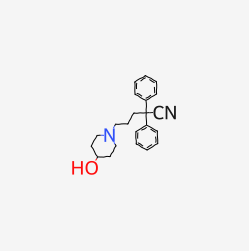 N#CC(CCCN1CCC(O)CC1)(c1ccccc1)c1ccccc1